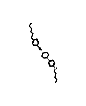 CCCCCCc1ccc(C#C[C@H]2CC[C@H](c3ccc(OCCCCC)cc3)CC2)cc1